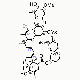 CC/C=C(\C)[C@@H](OC1C[C@H](OC)[C@@H](OC2C[C@H](OC)[C@@H](O)[C@H](C)O2)[C@H](C)O1)[C@@H](C)/C=C/C=C1\CO[C@H]2[C@H](O)C(C)=CC(C(=O)O[C@H]3CCO[C@@]4(C=C[C@H](C)[C@@H]([C@@H](C)CC)O4)C3)[C@@]12C